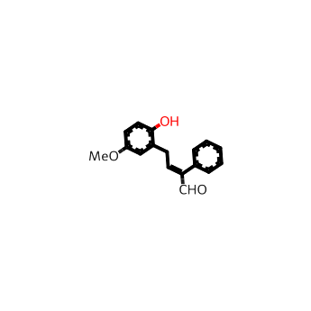 COc1ccc(O)c(CC=C(C=O)c2ccccc2)c1